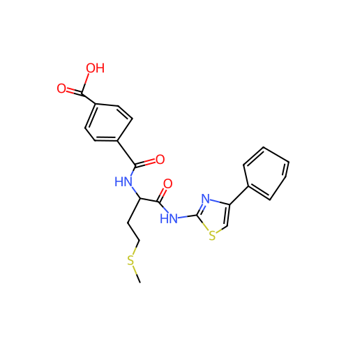 CSCCC(NC(=O)c1ccc(C(=O)O)cc1)C(=O)Nc1nc(-c2ccccc2)cs1